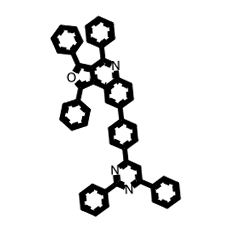 c1ccc(-c2cc(-c3ccc(-c4ccc5nc(-c6ccccc6)c6c(-c7ccccc7)oc(-c7ccccc7)c6c5c4)cc3)nc(-c3ccccc3)n2)cc1